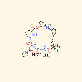 CC(C)C1NC(=O)C(C)(C)/C=C/c2ccc3ccc(nc3c2)[C@@H](C)OC(=O)C2CCCN(N2)C(=O)C(CC(=O)N2CCCC2)NC1=O